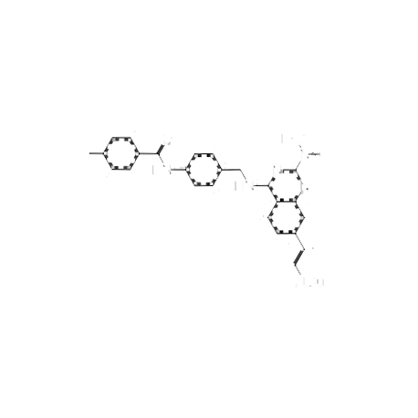 CN(C)c1nc(NCc2ccc(NC(=O)c3ccc(F)cc3)cc2)c2ccc(/C=C/C(C)(C)C)cc2n1